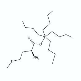 CCCCP(CCCC)(CCCC)(CCCC)OC(=O)[C@@H](N)CCSC